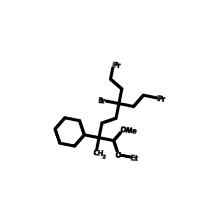 CCOC(OC)C(C)(CCC(Br)(CCC(C)C)CCC(C)C)C1CCCCC1